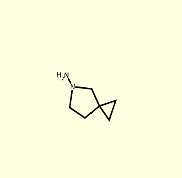 NN1CCC2(CC2)C1